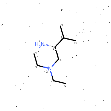 CCN(CC)C[C@H](N)C(C)C